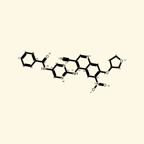 N#Cc1cnc2cc(OC3CCOC3)c([N+](=O)[O-])cc2c1Nc1ncc(NC(=O)c2ccccc2)cn1